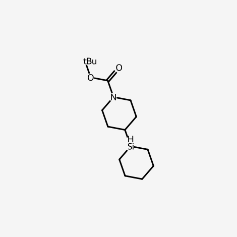 CC(C)(C)OC(=O)N1CCC([SiH]2CCCCC2)CC1